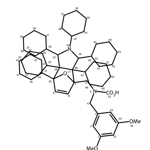 COc1cc(CN(CC23C=CC(C4CCCCC4)(O2)C2(C4CCCCC4)C(C4CCCCC4)N(C4CCCCC4)C(C4CCCCC4)C32C2CCCCC2)C(=O)O)cc(OC)c1